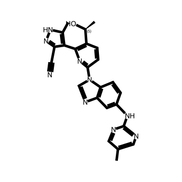 Cc1cnc(Nc2ccc3c(c2)ncn3-c2ccc([C@H](C)O)c(-c3c(C#N)n[nH]c3C)n2)nc1